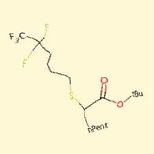 CCCCCC(SCCCC(F)(F)C(F)(F)F)C(=O)OC(C)(C)C